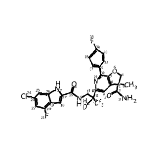 C[C@]1(C(N)=O)COc2c1cc(C(O)(CNC(=O)c1cc3c(F)cc(Cl)cc3[nH]1)C(F)(F)F)nc2-c1ccc(F)cc1